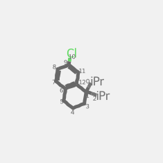 CC(C)C1(C(C)C)CCCc2ccc(Cl)cc21